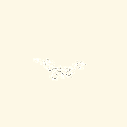 CCOC(=O)C1(c2ccc(-c3ccccc3-c3onc(C)c3Nc3cccc(OCCc4ccccc4)n3)cc2)CC1